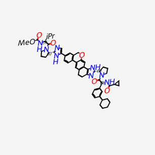 COC(=O)N[C@H](C(=O)N1CCC[C@H]1c1ncc(-c2ccc3c(c2)COc2cc4c(cc2-3)CCc2nc([C@@H]3CCCN3C(=O)[C@H](NC(=O)C3CC3)c3cccc(C5CCCCC5)c3)[nH]c2-4)[nH]1)C(C)C